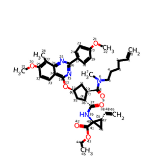 C=CCCCCN(C)C(=O)[C@@H]1C[C@H](Oc2nc(-c3ccc(OC)cc3)nc3c(C)c(OC)ccc23)C[C@H]1C(=O)N[C@]1(C(=O)OCC)C[C@H]1C=C